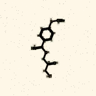 COSc1ccc(C(=N)OCC(=O)CCl)cc1